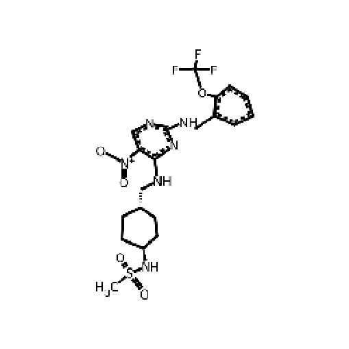 CS(=O)(=O)N[C@H]1CC[C@H](CNc2nc(NCc3ccccc3OC(F)(F)F)ncc2[N+](=O)[O-])CC1